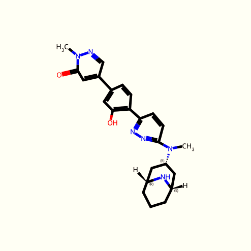 CN(c1ccc(-c2ccc(-c3cnn(C)c(=O)c3)cc2O)nn1)[C@H]1C[C@H]2CCC[C@@H](C1)N2